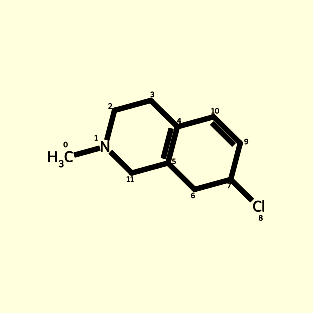 CN1CCC2=C(CC(Cl)C=C2)C1